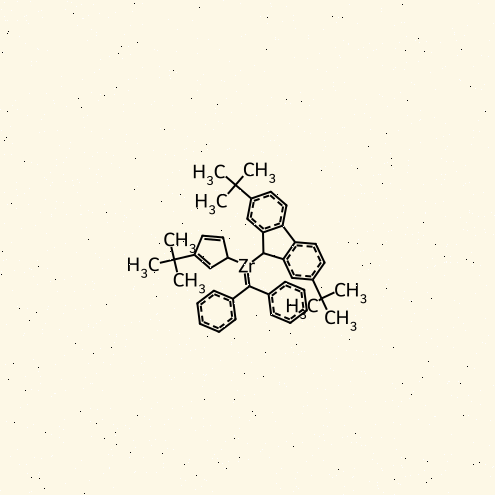 CC(C)(C)C1=C[CH]([Zr](=[C](c2ccccc2)c2ccccc2)[CH]2c3cc(C(C)(C)C)ccc3-c3ccc(C(C)(C)C)cc32)C=C1